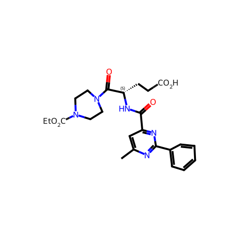 CCOC(=O)N1CCN(C(=O)[C@H](CCC(=O)O)NC(=O)c2cc(C)nc(-c3ccccc3)n2)CC1